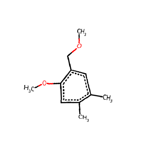 COCc1cc(C)c(C)cc1OC